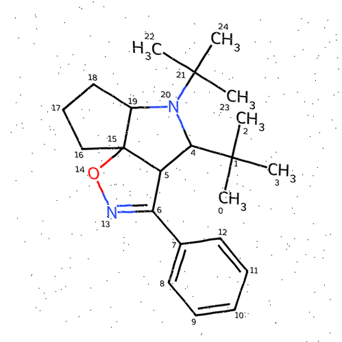 CC(C)(C)C1C2C(c3ccccc3)=NOC23CCCC3N1C(C)(C)C